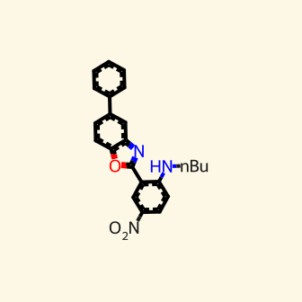 CCCCNc1ccc([N+](=O)[O-])cc1-c1nc2cc(-c3ccccc3)ccc2o1